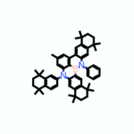 Cc1cc2c3c(c1)N(c1ccc4c(c1)C(C)(C)CCC4(C)C)c1cc4c(cc1B3N(c1ccccc1)c1cc3c(cc1-2)C(C)(C)CCC3(C)C)C(C)(C)CCC4(C)C